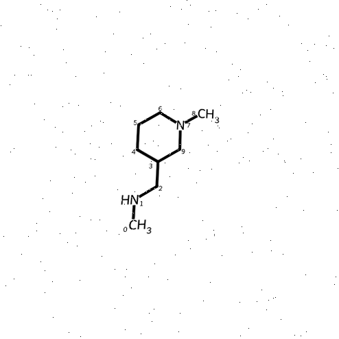 CNCC1CCCN(C)C1